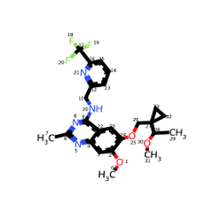 COc1cc2nc(C)nc(NCc3cccc(C(F)(F)F)n3)c2cc1OCC1(C(C)OC)CC1